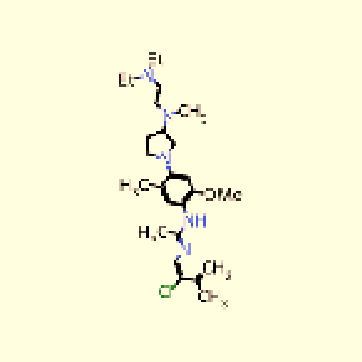 C=C(C)/C(Cl)=C\N=C(/C)Nc1cc(C)c(N2CCC(N(C)CCN(CC)CC)C2)cc1OC